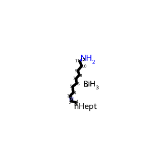 CCCCCCCC/C=C\CCCCCCCCN.[BiH3]